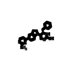 Nc1nccc(-c2ccc3c(c2)CCN3C(=O)[C@@H](Cc2ccccc2)NC(=O)O)n1